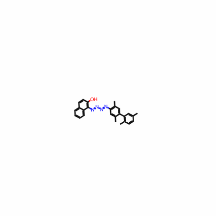 Cc1ccc(C)c(-c2cc(C)c(N=NN=Nc3c(O)ccc4ccccc34)cc2C)c1